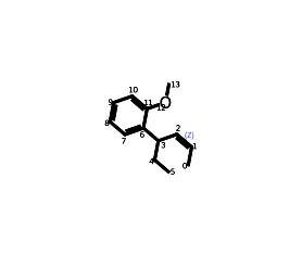 C/C=C\C(CC)c1ccccc1OC